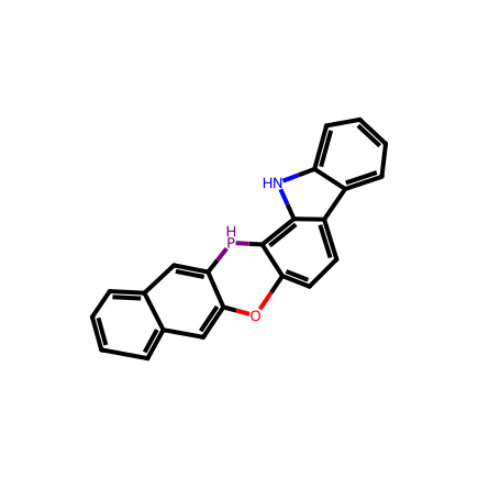 c1ccc2cc3c(cc2c1)Oc1ccc2c([nH]c4ccccc42)c1P3